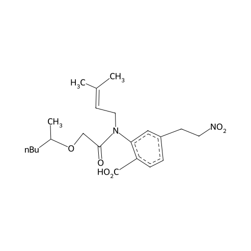 CCCCC(C)OCC(=O)N(CC=C(C)C)c1cc(CC[N+](=O)[O-])ccc1C(=O)O